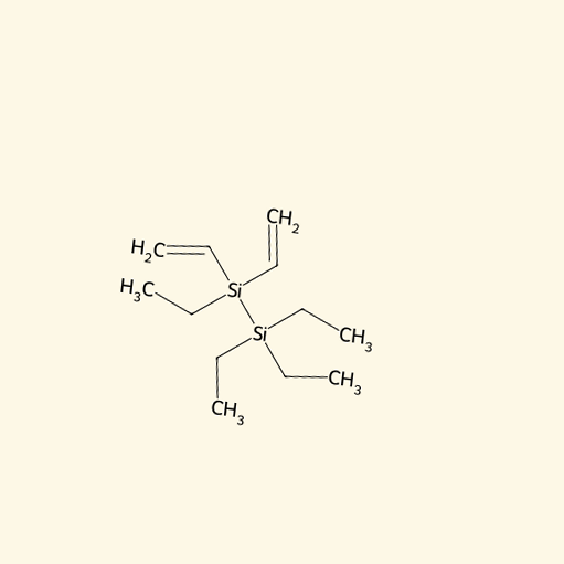 C=C[Si](C=C)(CC)[Si](CC)(CC)CC